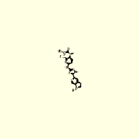 CC(C)N1CCc2cc(-c3nc(Nc4ccc(N(C)C(=O)OC(C)(C)C)c(C(F)(F)F)n4)n[nH]3)ncc21